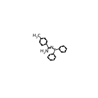 Cc1ccc(C(N)=NP(c2ccccc2)c2ccccc2)cc1